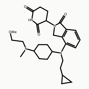 COCCN(C)C1CCC(N(CCC2CC2)c2cccc3c2CN(C2CCC(=O)NC2=O)C3=O)CC1